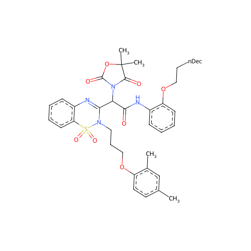 CCCCCCCCCCCCOc1ccccc1NC(=O)C(C1=Nc2ccccc2S(=O)(=O)N1CCCOc1ccc(C)cc1C)N1C(=O)OC(C)(C)C1=O